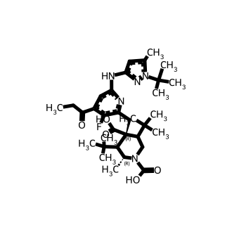 CCC(=O)c1cc(Nc2cc(C)n(C(C)(C)C)n2)nc(C[C@@]2(C(=O)O)C(C(C)(C)C)CN(C(=O)O)[C@H](C)C2C(C)(C)C)c1F